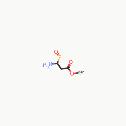 CC(C)OC(=O)CC(N)P=O